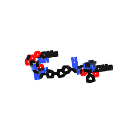 CCCN(Cc1ncc(-c2ccc3cc(-c4ccc(-c5cnc(CN(CC6(C)OCCO6)C(=O)CNC(=O)OC)[nH]5)cc4)ccc3c2)[nH]1)C(=O)[C@H](NC(=O)OC)c1ccccc1